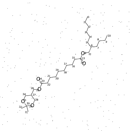 CCCCCCC(CCCC)COC(=O)CCCCCCCCC(=O)OCC1COC(C)(C)OC1